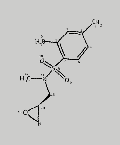 Bc1cc(C)ccc1S(=O)(=O)N(C)C[C@H]1CO1